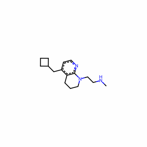 CNCCN1CCCc2c(CC3CCC3)ccnc21